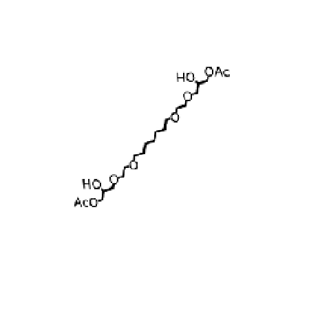 CC(=O)OCC(O)COCCOCCCCCCCOCCOCC(O)COC(C)=O